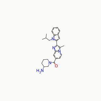 Cc1c(-c2cc3ccccc3n2CC(C)C)nc2cc(C(=O)N3CCCC(N)C3)ccn12